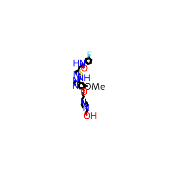 COc1cc2c(Nc3ncc(CC(=O)Nc4cccc(F)c4)s3)ncnc2cc1OCCCN1CCN(CCO)CC1